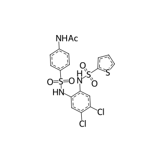 CC(=O)Nc1ccc(S(=O)(=O)Nc2cc(Cl)c(Cl)cc2NS(=O)(=O)c2cccs2)cc1